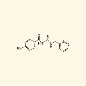 CC(C)(C)c1ccc(C(=O)NC(=S)NCc2ccccn2)cc1